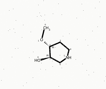 CO[C@@H]1CCNC[C@H]1O